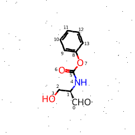 O=[C][C@@H](CO)NC(=O)Oc1ccccc1